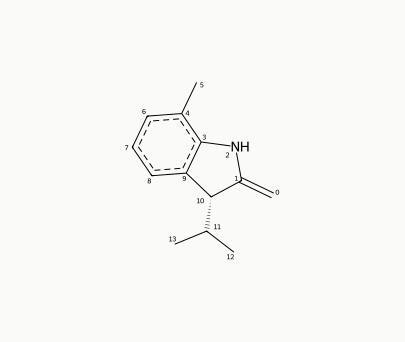 C=C1Nc2c(C)cccc2[C@H]1C(C)C